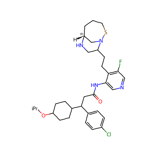 CC(C)OC1CCC(C(CC(=O)Nc2cncc(F)c2CCC2CN[C@@H]3CCCSN2C3)c2ccc(Cl)cc2)CC1